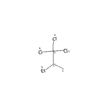 CC[C](C)C(Cl)(Cl)Cl